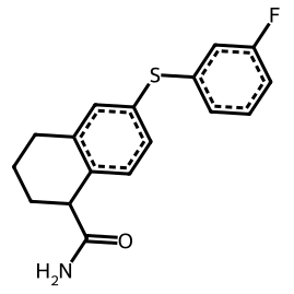 NC(=O)C1CCCc2cc(Sc3cccc(F)c3)ccc21